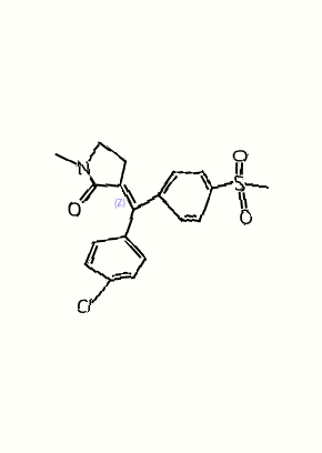 CN1CC/C(=C(/c2ccc(Cl)cc2)c2ccc(S(C)(=O)=O)cc2)C1=O